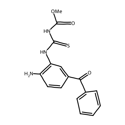 COC(=O)NC(=S)Nc1cc(C(=O)c2ccccc2)ccc1N